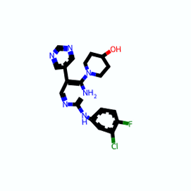 C=C(/N=C\C(=C(/N)N1CCC(O)CC1)c1cncnc1)Nc1ccc(F)c(Cl)c1